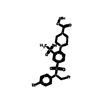 CCc1ccc(N(CC(C)C)S(=O)(=O)c2ccc(N3CCN(C(=O)OC(C)(C)C)CC3)c(S(C)(=N)=O)c2)cc1